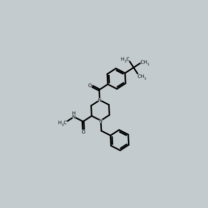 CNC(=O)C1CN(C(=O)c2ccc(C(C)(C)C)cc2)CCN1Cc1ccccc1